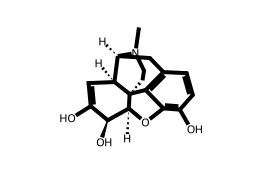 CN1CC[C@]23c4c5ccc(O)c4O[C@H]2[C@@H](O)C(O)=C[C@H]3[C@H]1C5